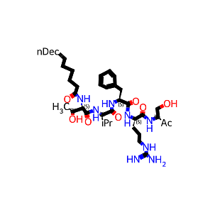 CCCCCCCCCCCCCCCC(=O)N[C@H](C(=O)N[C@H](C(=O)N[C@@H](Cc1ccccc1)C(=O)N[C@@H](CCCNC(=N)N)C(=O)N[C@H](CO)C(C)=O)C(C)C)[C@@H](C)O